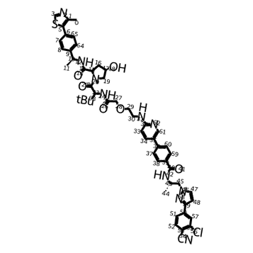 Cc1ncsc1-c1ccc([C@H](C)NC(=O)C2C[C@@H](O)CN2C(=O)C(NC(=O)COCCNc2ccc(-c3ccc(C(=O)N[C@@H](C)Cn4ccc(-c5ccc(C#N)c(Cl)c5)n4)cc3)cn2)C(C)(C)C)cc1